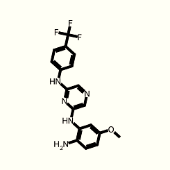 COc1ccc(N)c(Nc2cncc(Nc3ccc(C(F)(F)F)cc3)n2)c1